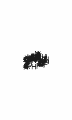 CCNC(=O)c1c(F)cc(F)cc1Nc1nc(Nc2cc3c(cc2OC)CCCN3C(=O)CN(C)C)[nH]c2nccc1-2